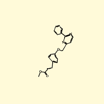 COC(=O)CCc1ccc(OCc2ccnc(-c3ccccc3)n2)cc1